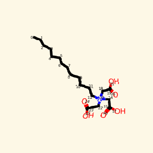 CCCCCCCCCCCCC[N+](CC(=O)O)(CC(=O)O)CC(=O)O